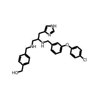 OCc1ccc(CNCC(Cc2c[nH]cn2)NCc2cccc(Oc3ccc(Cl)cc3)c2)cc1